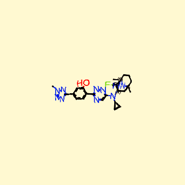 Cn1nnc(-c2ccc(-c3ncc(N(C4CC4)[C@@H]4C[C@@]5(C)CCC[C@](C)(N5)[C@@H]4F)nn3)c(O)c2)n1